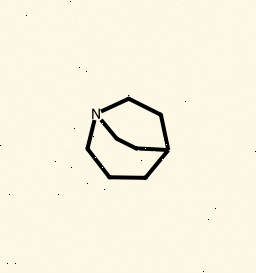 [CH]1CC2CCCN1CC2